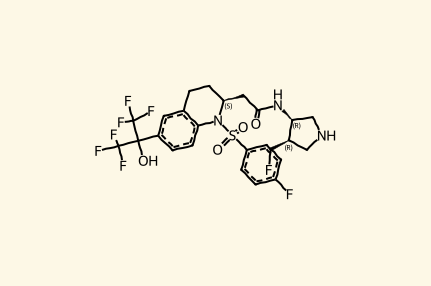 O=C(C[C@@H]1CCc2cc(C(O)(C(F)(F)F)C(F)(F)F)ccc2N1S(=O)(=O)c1ccc(F)cc1)N[C@H]1CNC[C@H]1CF